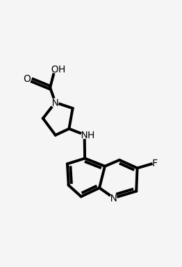 O=C(O)N1CCC(Nc2cccc3ncc(F)cc23)C1